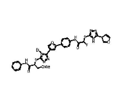 CCn1c(SC(COC)C(=O)Nc2ccccc2)nnc1-c1coc(-c2ccc(NC(=O)C(F)Sc3nnc(C4C=COC4)[nH]3)cc2)c1